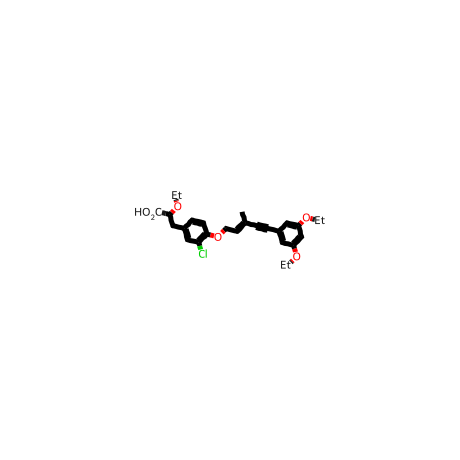 CCOc1cc(C#CC(C)=CCOc2ccc(CC(OCC)C(=O)O)cc2Cl)cc(OCC)c1